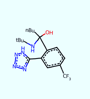 CCCCC(O)(NC(C)(C)C)c1ccc(C(F)(F)F)cc1-c1nnn[nH]1